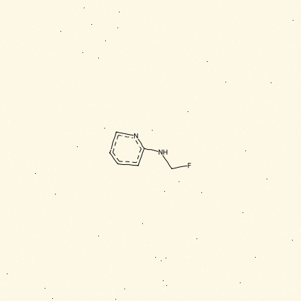 FCNc1ccccn1